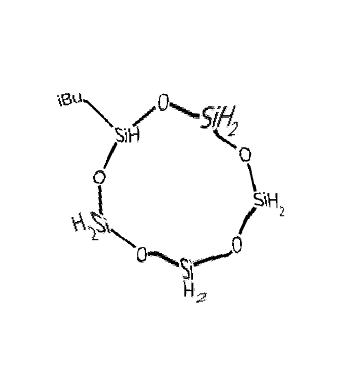 CCC(C)[SiH]1O[SiH2]O[SiH2]O[SiH2]O[SiH2]O1